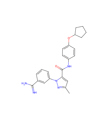 Cc1cc(C(=O)Nc2ccc(OC3CCCC3)cc2)n(-c2cccc(C(=N)N)c2)n1